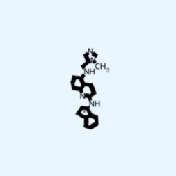 Cn1cncc1CNc1cccc2nc(N[C@@H]3CCc4ccccc43)ccc12